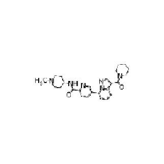 CN1CCC(NC(=O)c2ccc(-c3cccc4c(C(=O)N5CCCCC5)cnn34)cn2)CC1